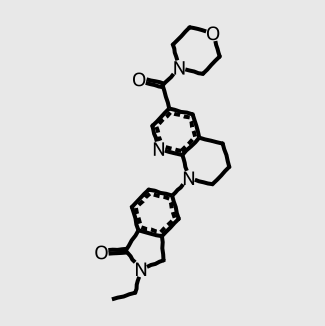 CCN1Cc2cc(N3CCCc4cc(C(=O)N5CCOCC5)cnc43)ccc2C1=O